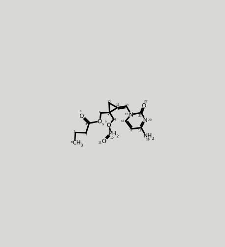 CCCC(=O)OCC1(CO[PH2]=O)C/C1=C/n1ccc(N)nc1=O